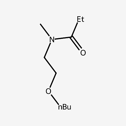 CCCCOCCN(C)C(=O)CC